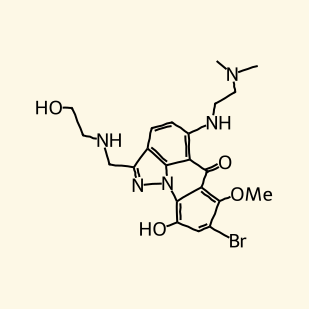 COc1c(Br)cc(O)c2c1c(=O)c1c(NCCN(C)C)ccc3c(CNCCO)nn2c31